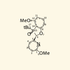 COc1cccc([C@@H]2Oc3cccc(OC)c3P2(=O)C(C)(C)C)n1